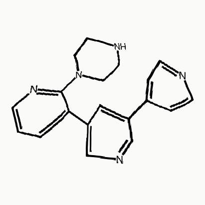 c1cnc(N2CCNCC2)c(-c2cncc(-c3ccncc3)c2)c1